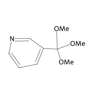 COC(OC)(OC)c1cccnc1